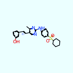 Cc1nc(Nc2ccc(S(=O)(=O)C3CCCCC3)cc2)ncc1/C=C/c1cccc(O)c1